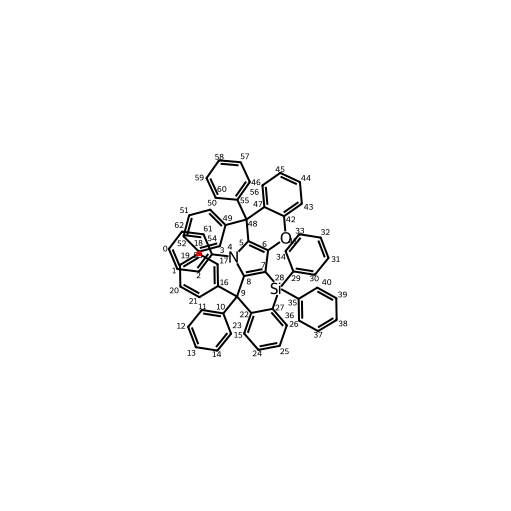 c1ccc(-n2c3c(c4c2C(c2ccccc2)(c2ccccc2)c2ccccc2[Si]4(c2ccccc2)c2ccccc2)Oc2ccccc2C3(c2ccccc2)c2ccccc2)cc1